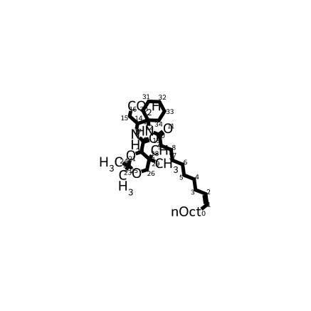 CCCCCCCC/C=C\CCCCCCCC(=O)NC1(C(CC(=O)O)NC(=O)C2OC(C)(C)OCC2(C)C)CCCCC1